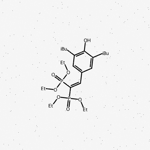 CCOP(=O)(OCC)C(=Cc1cc(C(C)CC)c(O)c(C(C)CC)c1)P(=O)(OCC)OCC